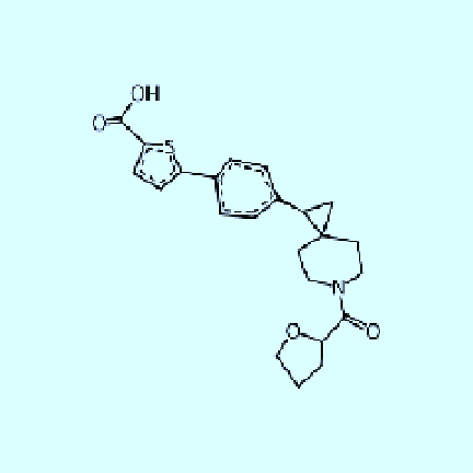 O=C(O)c1ccc(-c2ccc([C@H]3CC34CCN(C(=O)C3CCCO3)CC4)cc2)s1